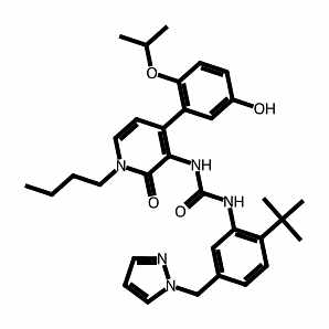 CCCCn1ccc(-c2cc(O)ccc2OC(C)C)c(NC(=O)Nc2cc(Cn3cccn3)ccc2C(C)(C)C)c1=O